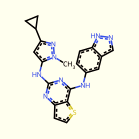 Cn1nc(C2CC2)cc1Nc1nc(Nc2ccc3[nH]ncc3c2)c2sccc2n1